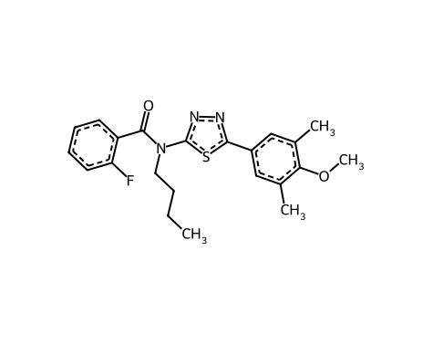 CCCCN(C(=O)c1ccccc1F)c1nnc(-c2cc(C)c(OC)c(C)c2)s1